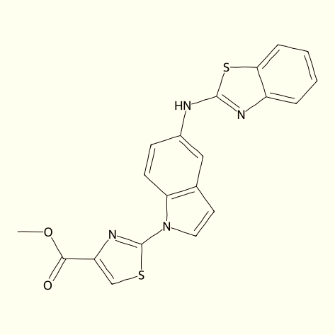 COC(=O)c1csc(-n2ccc3cc(Nc4nc5ccccc5s4)ccc32)n1